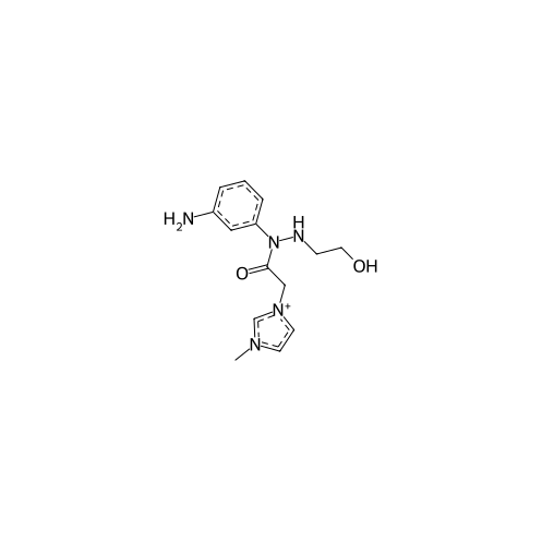 Cn1cc[n+](CC(=O)N(NCCO)c2cccc(N)c2)c1